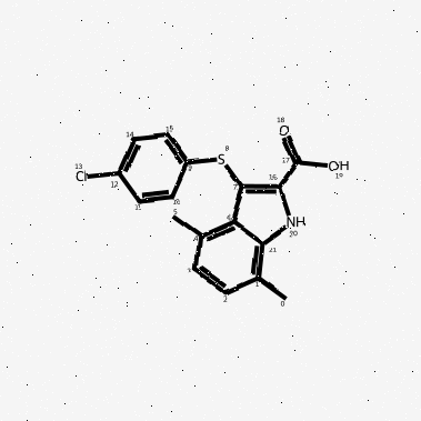 Cc1ccc(C)c2c(Sc3ccc(Cl)cc3)c(C(=O)O)[nH]c12